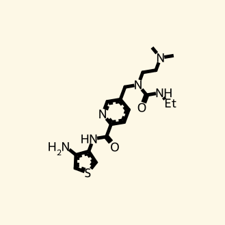 CCNC(=O)N(CCN(C)C)Cc1ccc(C(=O)Nc2cscc2N)nc1